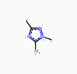 Cc1nc(C(F)(F)F)n(C)n1